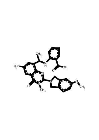 COc1ccc2c(c1)CN(c1nc3c(C(C)Nc4ccccc4C(=O)O)cc(C)cc3c(=O)n1C)C2